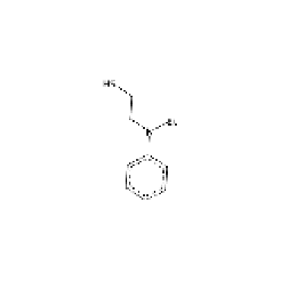 CCN(CCS)c1ccccc1